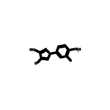 Cc1cc(-n2cc(Br)c(C=O)n2)ccc1C(=O)O